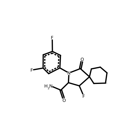 NC(=O)C1C(F)C2(C[CH]CCC2)C(=O)N1c1cc(F)cc(F)c1